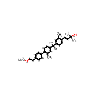 CCC(CC)(c1ccc(/C=C/C(O)(C(F)(F)F)C(F)(F)F)c(C)c1)c1ccc(-c2ccc(CCOOC)cc2)c(C)c1